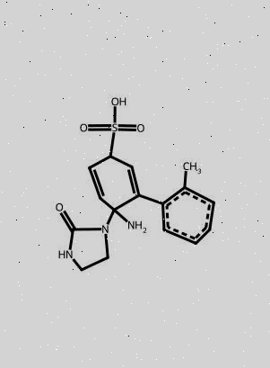 Cc1ccccc1C1=CC(S(=O)(=O)O)C=CC1(N)N1CCNC1=O